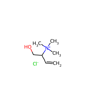 C=CC(CO)[N+](C)(C)C.[Cl-]